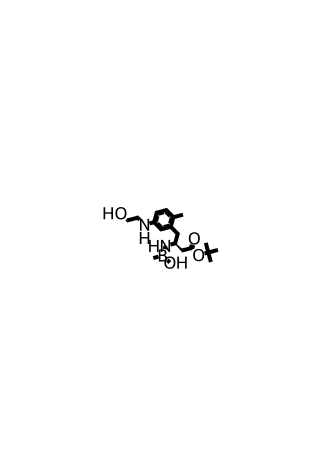 CB(O)N[C@H](CC(=O)OC(C)(C)C)Cc1cc(NCCO)ccc1C